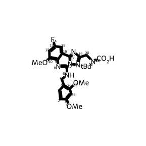 COc1ccc(CNc2nc3c(OC)cc(F)cc3c3nc(CN(C(=O)O)C(C)(C)C)nn23)c(OC)c1